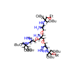 CCOCC(COCC(C)C)(COCC(C)C)N/C=C(\N)COCC(N)(COC/C(=C/NC(COCC)(COCC(C)C)COCC(C)C)N=N)COC/C(=C/NC(COCC(C)C)(COCC(C)C)COCC(C)C)N=N